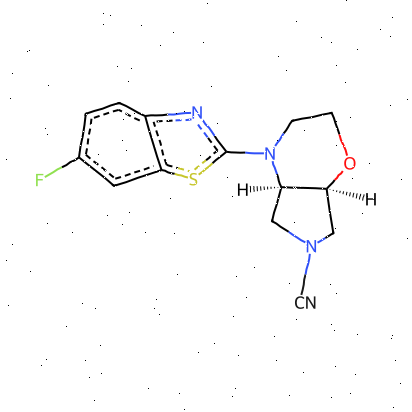 N#CN1C[C@@H]2OCCN(c3nc4ccc(F)cc4s3)[C@@H]2C1